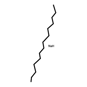 CCCCCCCCCCCCCC.[NaH]